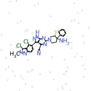 Cn1nc2ccc(-c3n[nH]c4nc(N5CCC(N)(c6ccccc6)C(F)C5)nc(C#N)c34)c(Cl)c2c1Cl